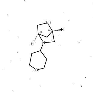 C1CC(N2C[C@H]3C[C@@H]2CN3)CCO1